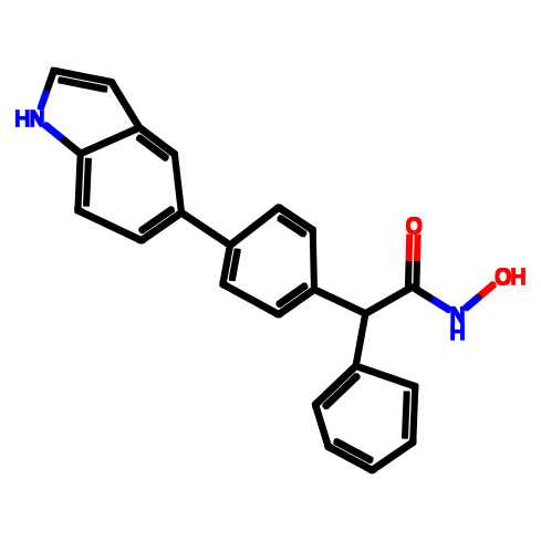 O=C(NO)C(c1ccccc1)c1ccc(-c2ccc3[nH]ccc3c2)cc1